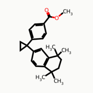 COC(=O)c1ccc(C2(c3ccc4c(c3)C(C)(C)CCC4(C)C)CC2)cc1